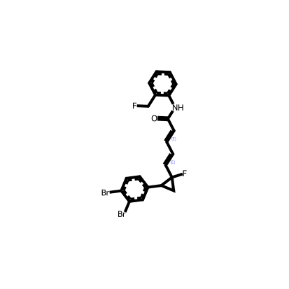 O=C(/C=C/C=C/C1(F)CC1c1ccc(Br)c(Br)c1)Nc1ccccc1CF